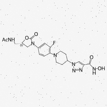 CC(=O)NC[C@H]1CN(c2ccc(N3CCC(n4cc(C(=O)NO)nn4)CC3)c(F)c2)C(=O)O1